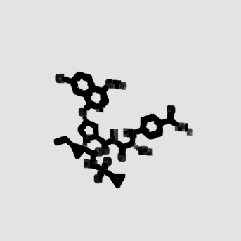 C=C[C@@H]1C[C@@]1(C(=O)NS(=O)(=O)C1CC1)N1C[C@H](Oc2ncc(OC)c3ccc(Cl)cc23)C[C@H]1C(=O)NC(=O)[C@H](Nc1ccc(C(N)=O)cc1)C(C)(C)C